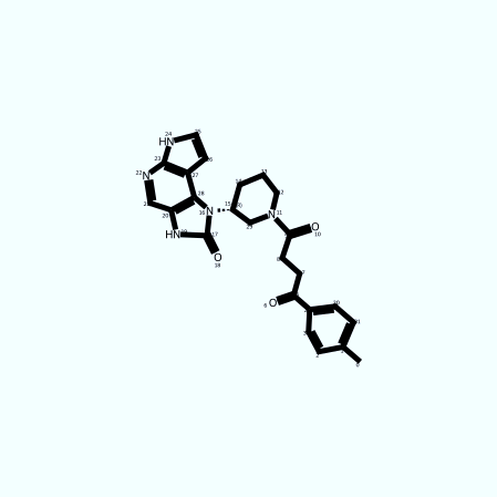 Cc1ccc(C(=O)CCC(=O)N2CCC[C@@H](n3c(=O)[nH]c4cnc5[nH]ccc5c43)C2)cc1